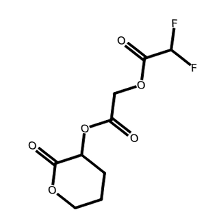 O=C(COC(=O)C(F)F)OC1CCCOC1=O